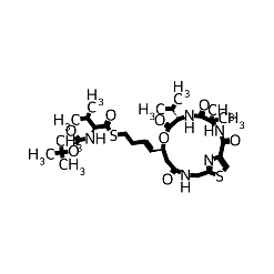 CC(C)[C@@H]1NC(=O)C(C)(C)NC(=O)c2csc(n2)CNC(=O)C[C@@H](C=CCCSC(=O)[C@@H](NC(=O)OC(C)(C)C)C(C)C)OC1=O